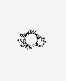 COOC(=O)C[C@@H]1NC(=O)[C@H](CCSC)NC(=O)[C@@H]2CCCN2C(=O)[C@@H]2CSCc3cc(cc(c3)OCCCCCCO/N=C/C(=O)N[C@@H](C)C(=O)N2)CSC[C@@H](C(N)=O)NC(=O)[C@H](CCC(=O)O)NC(=O)[C@H](CCC(N)=O)NC(=O)[C@H](Cc2c[nH]c3ccccc23)NC(=O)C(C(C)C)NC1=O